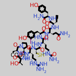 C#CC[C@H](NC(=O)[C@H](CCC(N)=O)NC(=O)[C@H](Cc1ccc(O)c(I)c1)NC(=O)[C@H](CCCNC(N)=O)NC(=O)[C@H](CS)NC(=O)[C@H](CCCNC(=N)N)NC(=O)[C@@H]1CCCN1C(=O)[C@H](CC(=O)O)NC(=O)[C@@H](N)[C@@H](C)O)C(=O)N[C@@H](Cc1ccc(O)cc1)C(N)=O